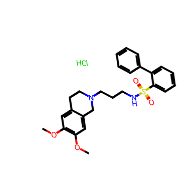 COc1cc2c(cc1OC)CN(CCCNS(=O)(=O)c1ccccc1-c1ccccc1)CC2.Cl